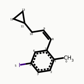 Cc1ccc(I)cc1/C=C\CC1CC1